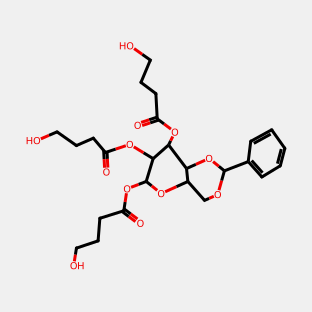 O=C(CCCO)OC1OC2COC(c3ccccc3)OC2C(OC(=O)CCCO)C1OC(=O)CCCO